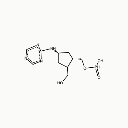 O=[PH](O)OC[C@H]1C[C@H](Nc2ncncn2)CC1CO